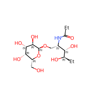 CCC(=O)N[C@@H](CO[C@H]1O[C@H](CO)[C@H](O)[C@H](O)[C@H]1O)[C@H](O)[C@H](O)CC